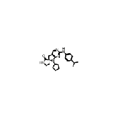 CC(C)c1ccc(Nc2ncc3c(n2)N(C2CCCC2)[C@]2(CCNC2=O)C3)cc1